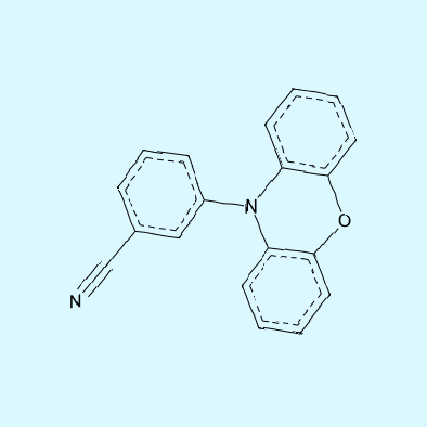 N#Cc1cccc(N2c3ccccc3Oc3ccccc32)c1